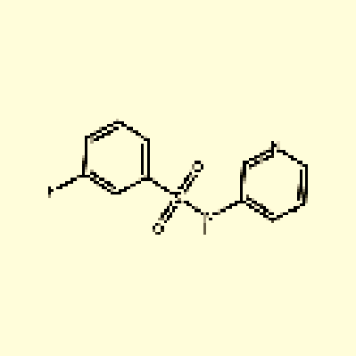 O=S(=O)(Nc1cccnc1)c1cccc(F)c1